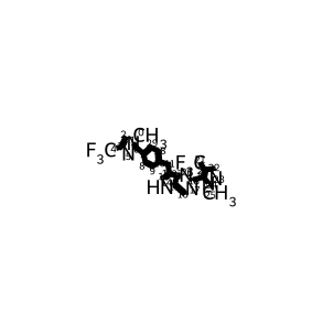 Cn1cc(C(F)(F)F)nc1-c1ccc(Cc2c[nH]c3cnc(-c4c(C(F)(F)F)cnn4C)nc23)cc1